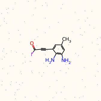 Cc1cc(N)c(N)c(C#CC(=O)I)c1